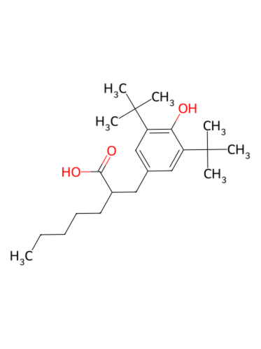 CCCCCC(Cc1cc(C(C)(C)C)c(O)c(C(C)(C)C)c1)C(=O)O